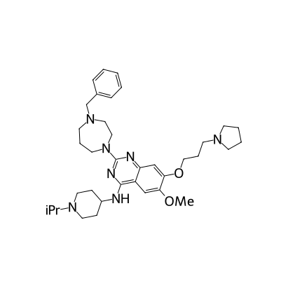 COc1cc2c(NC3CCN(C(C)C)CC3)nc(N3CCCN(Cc4ccccc4)CC3)nc2cc1OCCCN1CCCC1